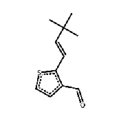 CC(C)(C)/C=C/c1sccc1C=O